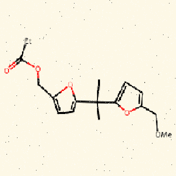 CCC(=O)OCc1ccc(C(C)(C)c2ccc(COC)o2)o1